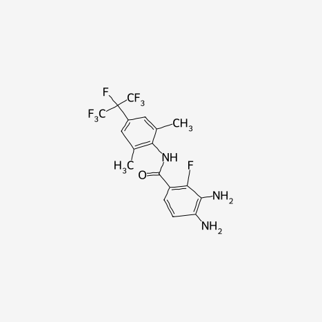 Cc1cc(C(F)(C(F)(F)F)C(F)(F)F)cc(C)c1NC(=O)c1ccc(N)c(N)c1F